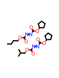 CC(C)COC(=O)N=NC(=O)OC1CCCC1.CCCCOC(=O)N=NC(=O)OC1CCCC1